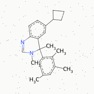 Cc1cc(C)c(C)c(C2(C)c3cc(C4CCC4)ccc3N=CN2C)c1